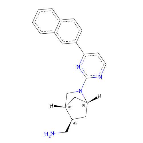 NC[C@@H]1C[C@@H]2C[C@H]1CN2c1nccc(-c2ccc3ccccc3c2)n1